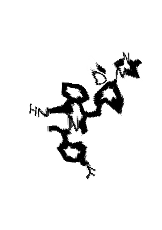 C=c1/c(=C/c2ccc(-n3cnc(C)c3)c(OC)c2)c2ccccc2c(=N)n1C(C)c1ccc(F)cc1